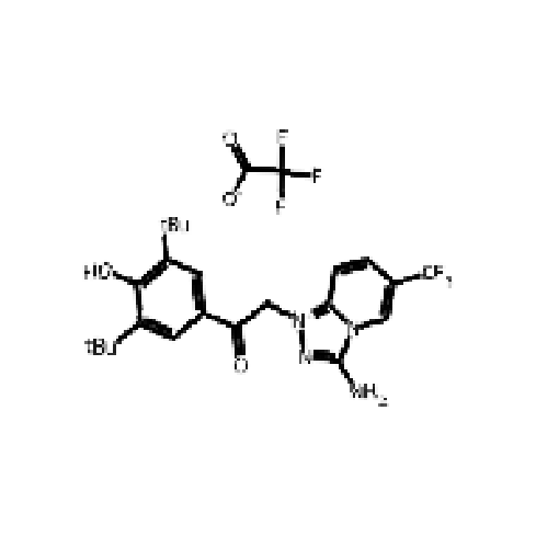 CC(C)(C)c1cc(C(=O)C[n+]2nc(N)n3cc(C(F)(F)F)ccc32)cc(C(C)(C)C)c1O.O=C([O-])C(F)(F)F